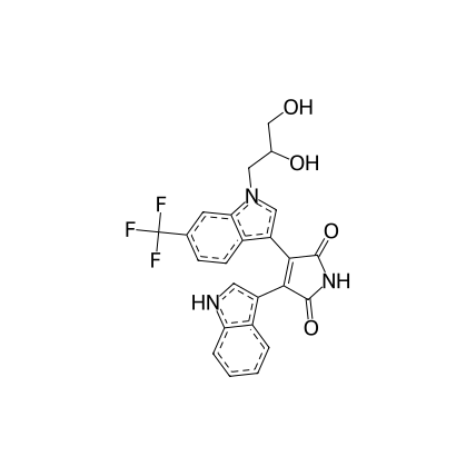 O=C1NC(=O)C(c2cn(CC(O)CO)c3cc(C(F)(F)F)ccc23)=C1c1c[nH]c2ccccc12